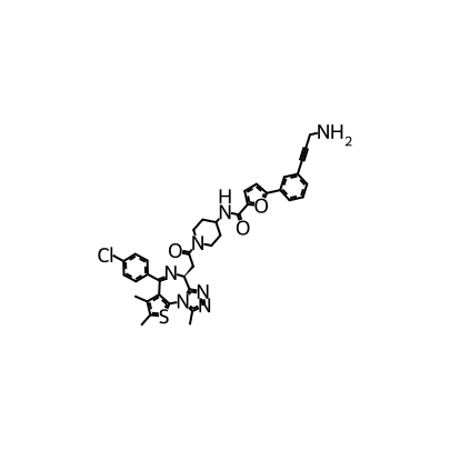 Cc1sc2c(c1C)C(c1ccc(Cl)cc1)=N[C@@H](CC(=O)N1CCC(NC(=O)c3ccc(-c4cccc(C#CCN)c4)o3)CC1)c1nnc(C)n1-2